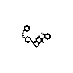 Fc1ccccc1-c1c(Cl)cc2c(N3CCC(N=C=Nc4ccccc4)CC3)ncnc2c1F